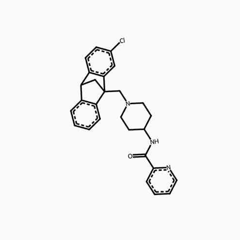 O=C(NC1CCN(CC23CC(c4ccccc42)c2ccc(Cl)cc23)CC1)c1ccccn1